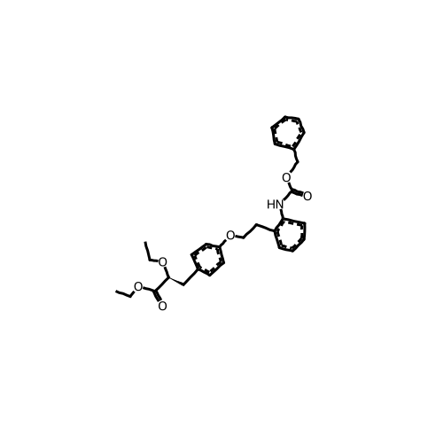 CCOC(=O)[C@H](Cc1ccc(OCCc2ccccc2NC(=O)OCc2ccccc2)cc1)OCC